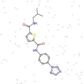 CC(C)CNC(=O)c1ccc(C(=O)Nc2ccc(-n3cncn3)cc2)s1